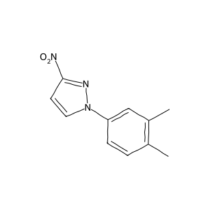 Cc1ccc(-n2ccc([N+](=O)[O-])n2)cc1C